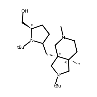 CN1CC[C@@]2(C)CN(C(C)(C)C)C[C@@]2(CC2CC[C@H](CO)N2C(C)(C)C)C1